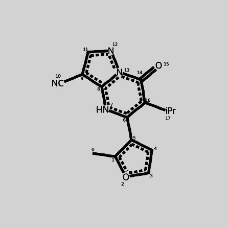 Cc1occc1-c1[nH]c2c(C#N)cnn2c(=O)c1C(C)C